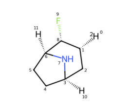 [2H][C@@H]1C[C@H]2CC[C@H](N2)[C@@H]1F